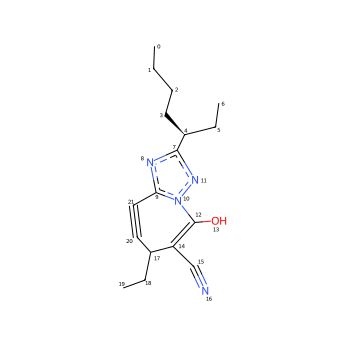 CCCC[C@@H](CC)c1nc2n(n1)C(O)=C(C#N)C(CC)C#C2